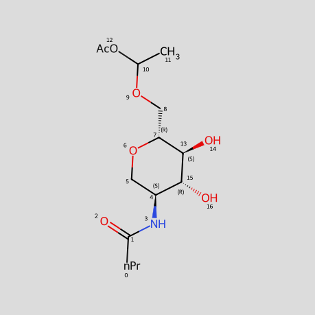 CCCC(=O)N[C@H]1CO[C@H](COC(C)OC(C)=O)[C@@H](O)[C@@H]1O